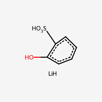 O=S(=O)(O)c1ccccc1O.[LiH]